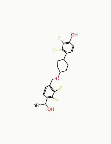 CCCC(O)c1ccc(COC2CCC(c3ccc(O)c(F)c3F)CC2)c(F)c1F